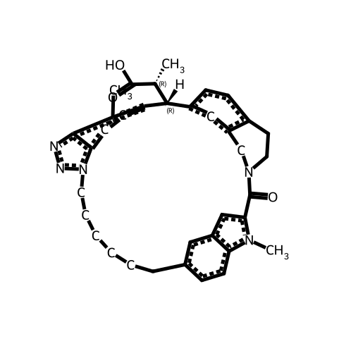 Cc1c2ccc3c1nnn3CCCCCCc1ccc3c(c1)cc(n3C)C(=O)N1CCc3ccc(cc3C1)[C@H]2[C@@H](C)C(=O)O